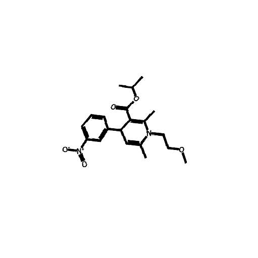 COCCN1C(C)=CC(c2cccc([N+](=O)[O-])c2)C(C(=O)OC(C)C)=C1C